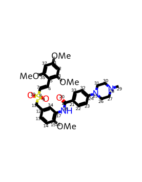 COc1cc(OC)c(/C=C/S(=O)(=O)Cc2ccc(OC)c(NC(=O)c3ccc(N4CCN(C)CC4)cc3)c2)c(OC)c1